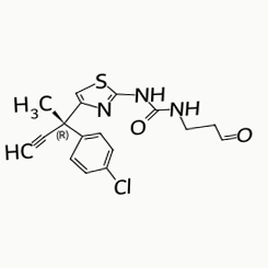 C#C[C@@](C)(c1ccc(Cl)cc1)c1csc(NC(=O)NCCC=O)n1